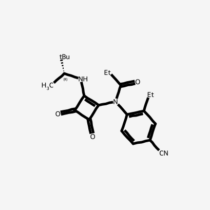 CCC(=O)N(c1ccc(C#N)cc1CC)c1c(N[C@H](C)C(C)(C)C)c(=O)c1=O